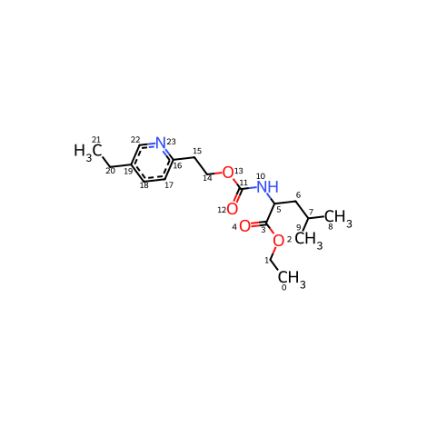 CCOC(=O)C(CC(C)C)NC(=O)OCCc1ccc(CC)cn1